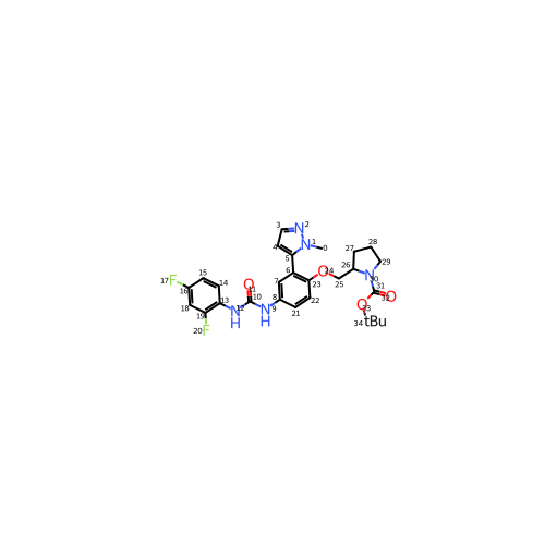 Cn1nccc1-c1cc(NC(=O)Nc2ccc(F)cc2F)ccc1OCC1CCCN1C(=O)OC(C)(C)C